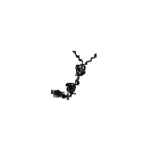 CCCCCCC(C)(CCCCCC)OP(=O)(OC)OC(C)(C)CCOC(C)(C)P(=O)(OC)OC(C)(C)CC(C)(C)SSNO